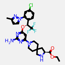 CCOC(=O)[C@@H]1CC2(CCN(c3cc(O[C@H](c4ccc(Cl)cc4-n4ccc(C)n4)C(F)(F)F)nc(N)n3)CC2)CN1